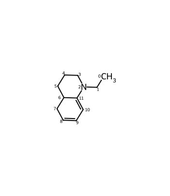 CCN1CCCC2CC=CC=C21